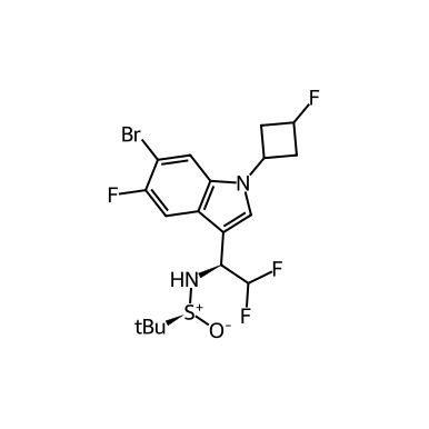 CC(C)(C)[S@+]([O-])N[C@@H](c1cn(C2CC(F)C2)c2cc(Br)c(F)cc12)C(F)F